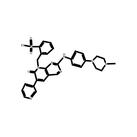 CCS(=O)(=O)c1ccccc1Cn1c(=O)c(-c2cccnc2)cc2cnc(Nc3ccc(N4CCN(C)CC4)cc3)nc21